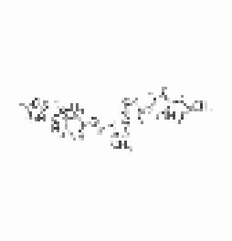 CC(C)Cc1ccc(-c2ccnc(CC(C)CCOc3cc(C(C)(C)Cc4ncco4)ccn3)c2)cc1